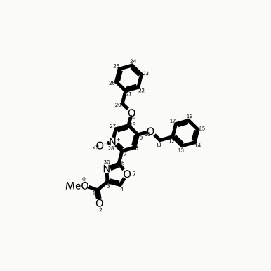 COC(=O)c1coc(-c2cc(OCc3ccccc3)c(OCc3ccccc3)c[n+]2[O-])n1